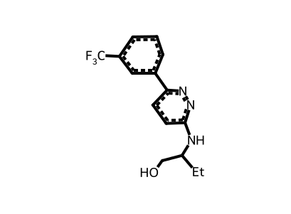 CCC(CO)Nc1ccc(-c2cccc(C(F)(F)F)c2)nn1